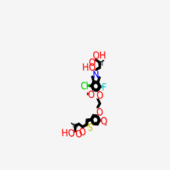 COc1cc2sc(C(=O)C[C@H](C)C(=O)O)cc2cc1OCCCOc1c(F)c2c(c(Cl)c1OC)CN(C(O)C[C@H](C)C(=O)O)C2